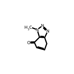 Cn1nnc2c1C(=O)C=CC2